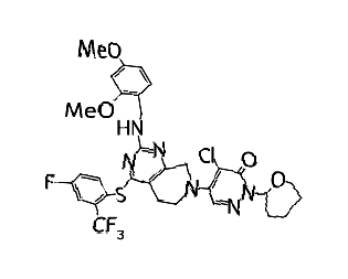 COc1ccc(CNc2nc3c(c(Sc4ccc(F)cc4C(F)(F)F)n2)CCN(c2cnn(C4CCCCO4)c(=O)c2Cl)C3)c(OC)c1